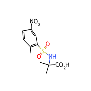 Cc1ccc([N+](=O)[O-])cc1S(=O)(=O)NC(C)(C)C(=O)O